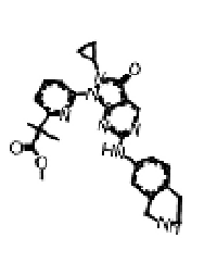 COC(=O)C(C)(C)c1cccc(-n2c3nc(Nc4ccc5c(c4)CNCC5)ncc3c(=O)n2C2CC2)n1